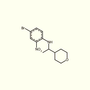 CC(Nc1ccc(Br)cc1[N+](=O)[O-])C1CCOCC1